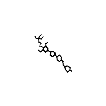 CCc1cc(-c2ccc(C3CCC(CCC4CCC(C)CC4)CC3)cc2)cc(CC)c1OCCC(CC)(CC)CC